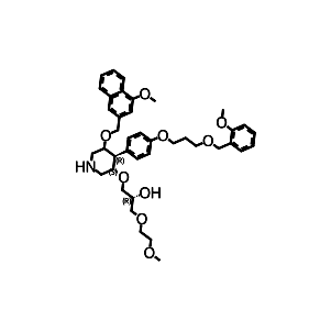 COCCOC[C@@H](O)CO[C@@H]1CNCC(OCc2cc(OC)c3ccccc3c2)[C@H]1c1ccc(OCCCOCc2ccccc2OC)cc1